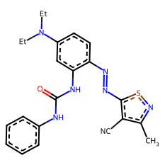 CCN(CC)c1ccc(N=Nc2snc(C)c2C#N)c(NC(=O)Nc2ccccc2)c1